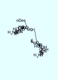 CCCCCCCCCCCCCCCCO[C@H](COCc1ccc(C(C)CCCCCCCCCCCCO[C@H](COCc2ccccc2)COP(=O)(O)OC[C@H]2O[C@@](C#N)(c3ccc4c(N)ncnn34)[C@H](O)[C@@H]2O)cc1)COP(=O)(O)OC[C@H]1O[C@@](C#N)(c2ccc3c(N)ncnn23)[C@H](O)[C@@H]1O